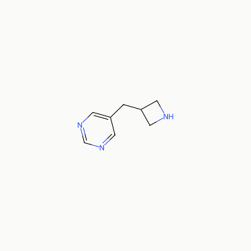 c1ncc(CC2CNC2)cn1